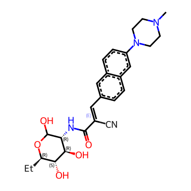 CC[C@H]1OC(O)[C@H](NC(=O)/C(C#N)=C/c2ccc3cc(N4CCN(C)CC4)ccc3c2)[C@@H](O)[C@@H]1O